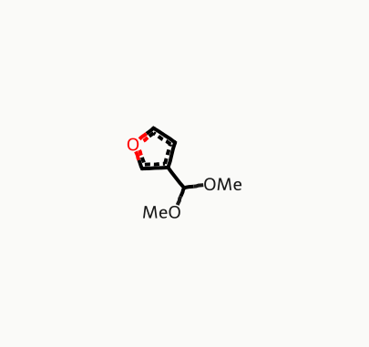 COC(OC)c1ccoc1